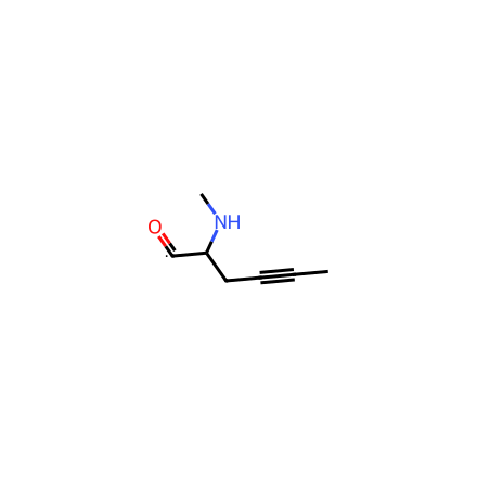 CC#CCC([C]=O)NC